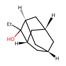 CCC1(O)[C@H]2C[C@H]3C[C@H](C2)C[C@H]1C3